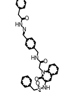 O=C(Cn1c(=O)c(NS(=O)(=O)Cc2ccccc2)cc2ccccc21)NCc1ccc(C=NNC(=O)Cc2ccccc2)cc1